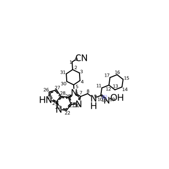 N#CCC1CCC(n2c(CN/C(CC3CCCCC3)=N/O)nc3cnc4[nH]ccc4c32)CC1